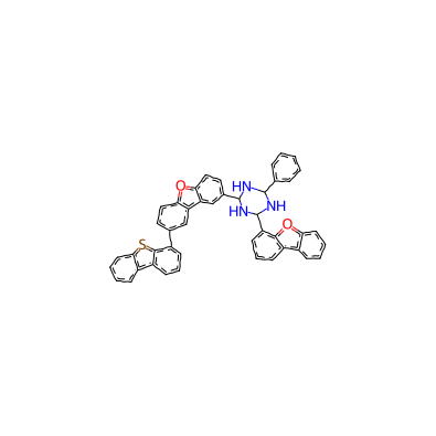 c1ccc(C2NC(c3ccc4oc5ccc(-c6cccc7c6sc6ccccc67)cc5c4c3)NC(c3cccc4c3oc3ccccc34)N2)cc1